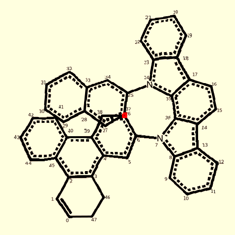 C1=Cc2c(c3cc(-n4c5ccccc5c5ccc6c7ccccc7n(-c7ccc8ccccc8c7)c6c54)ccc3c3ccccc23)CC1